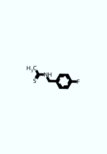 CC(=S)NCc1ccc(F)cc1